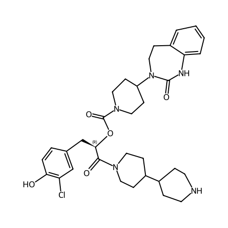 O=C(O[C@H](Cc1ccc(O)c(Cl)c1)C(=O)N1CCC(C2CCNCC2)CC1)N1CCC(N2CCc3ccccc3NC2=O)CC1